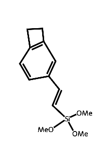 CO[Si](C=Cc1ccc2c(c1)CC2)(OC)OC